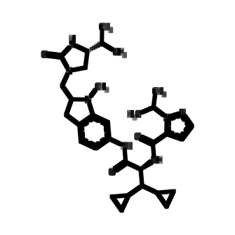 CC(C)[C@@H]1CN(CC2Cc3ccc(NC(=O)[C@@H](NC(=O)c4ccnn4C(C)C)C(C4CC4)C4CC4)cc3N2C)C(=O)N1